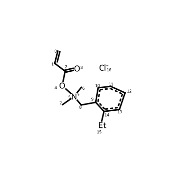 C=CC(=O)O[N+](C)(C)Cc1ccccc1CC.[Cl-]